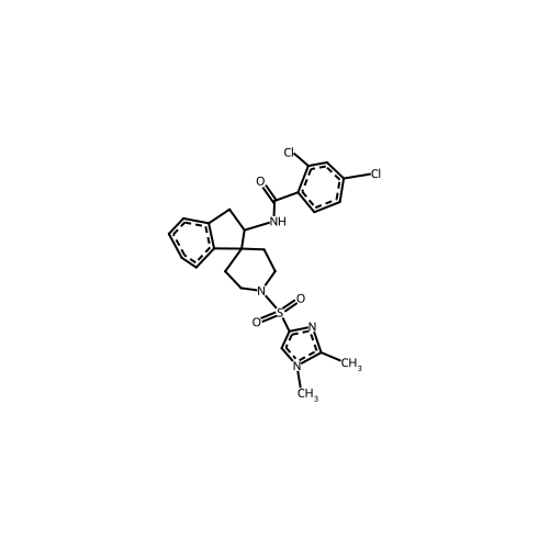 Cc1nc(S(=O)(=O)N2CCC3(CC2)c2ccccc2CC3NC(=O)c2ccc(Cl)cc2Cl)cn1C